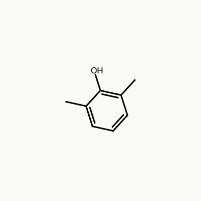 Cc1c[c]cc(C)c1O